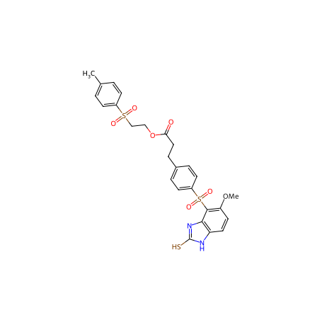 COc1ccc2[nH]c(S)nc2c1S(=O)(=O)c1ccc(CCC(=O)OCCS(=O)(=O)c2ccc(C)cc2)cc1